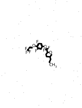 CCCC1CCC(C(F)(F)Oc2cc(F)c(O/C=C/C(F)(F)F)c(F)c2)OC1